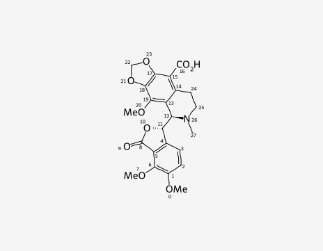 COc1ccc2c(c1OC)C(=O)O[C@@H]2[C@H]1c2c(c(C(=O)O)c3c(c2OC)OCO3)CCN1C